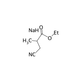 CCOC(=O)C(C)CC#N.[NaH]